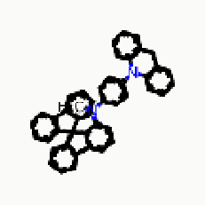 CN(c1ccc(N2c3ccccc3Cc3ccccc32)cc1)c1cccc2c1C1(c3ccccc3-c3ccccc31)c1ccccc1-2